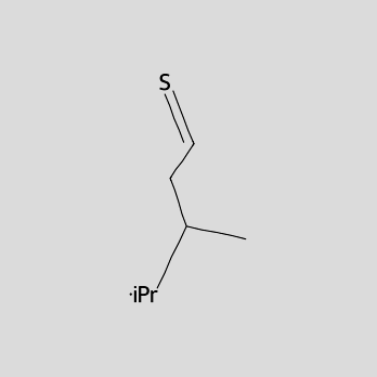 C[C](C)C(C)CC=S